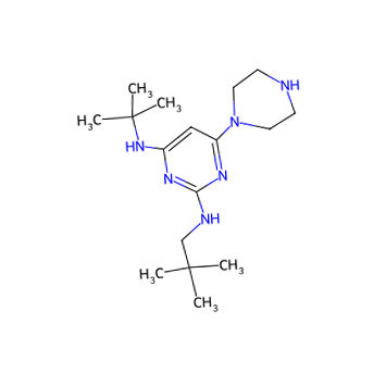 CC(C)(C)CNc1nc(NC(C)(C)C)cc(N2CCNCC2)n1